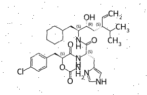 C=C[C@@H](C[C@@H](O)[C@H](CC1CCCCC1)NC(=O)[C@H](Cc1c[nH]cn1)NC(=O)[C@H](Cc1ccc(Cl)cc1)OC(N)=O)C(C)C